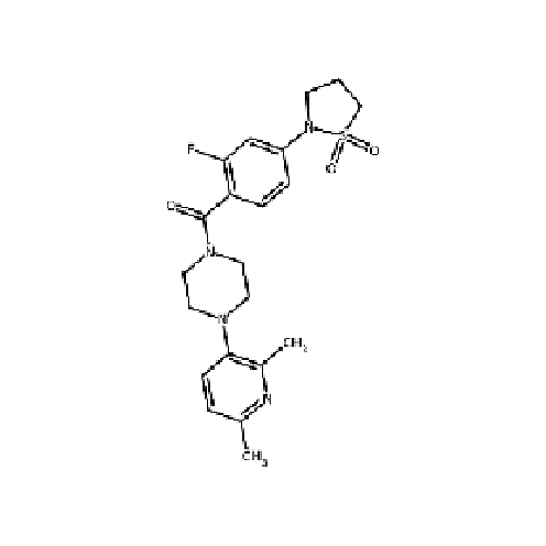 Cc1ccc(N2CCN(C(=O)c3ccc(N4CCCS4(=O)=O)cc3F)CC2)c(C)n1